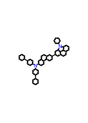 c1ccc(-c2ccc(N(c3ccc(-c4ccccc4)cc3)c3ccc4c(ccc5cc(-c6cc7ccc8cccc9c8c7c(c6)n9-c6ccccc6)ccc54)c3)cc2)cc1